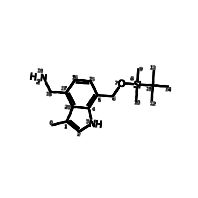 Cc1c[nH]c2c(CO[Si](C)(C)C(C)(C)C)ccc(CN)c12